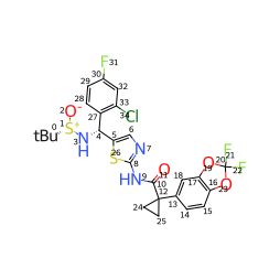 CC(C)(C)[S@+]([O-])N[C@@H](c1cnc(NC(=O)C2(c3ccc4c(c3)OC(F)(F)O4)CC2)s1)c1ccc(F)cc1Cl